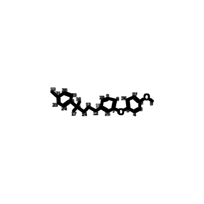 COc1ccc(Oc2cccc(CCCC(C)(C)c3ccc(C)cc3)c2)cc1